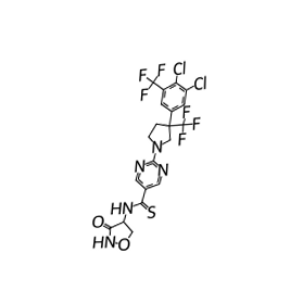 O=C1NOCC1NC(=S)c1cnc(N2CCC(c3cc(Cl)c(Cl)c(C(F)(F)F)c3)(C(F)(F)F)C2)nc1